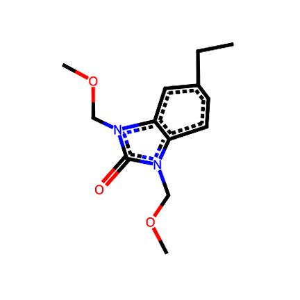 CCc1ccc2c(c1)n(COC)c(=O)n2COC